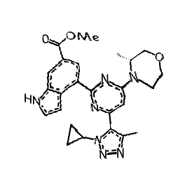 COC(=O)c1cc(-c2nc(-c3c(C)nnn3C3CC3)cc(N3CCOC[C@H]3C)n2)c2cc[nH]c2c1